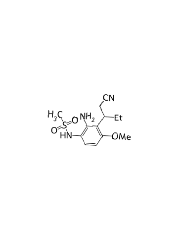 CCC(CC#N)c1c(OC)ccc(NS(C)(=O)=O)c1N